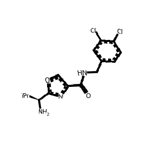 CC(C)[C@H](N)c1nc(C(=O)NCc2ccc(Cl)c(Cl)c2)co1